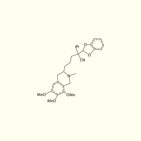 COc1cc2c(c(OC)c1OC)CN(C)C(CCCC(C#N)(C(C)C)C1Oc3ccccc3O1)C2